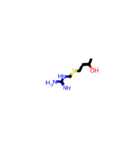 CC(O)CCSCNC(=N)N